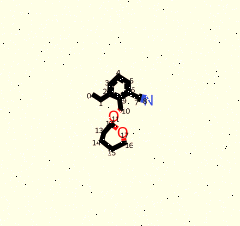 CCc1cccc(C#N)c1COC1CCCCO1